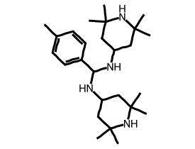 Cc1ccc(C(NC2CC(C)(C)NC(C)(C)C2)NC2CC(C)(C)NC(C)(C)C2)cc1